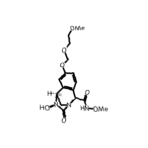 COCCOCOc1ccc2c(c1)[C@H]1CN(C(=O)N1O)C2C(=O)NOC